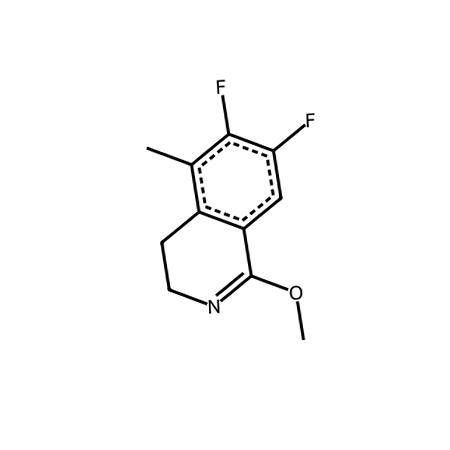 COC1=NCCc2c1cc(F)c(F)c2C